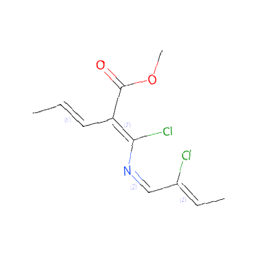 C/C=C(Cl)/C=N\C(Cl)=C(/C=C/C)C(=O)OC